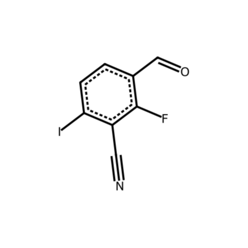 N#Cc1c(I)ccc(C=O)c1F